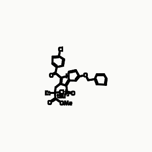 CCC(C)(Cc1c(C(=O)C(C)(C)C)c2cc(OCc3ccccc3)ccn2c1C(=O)c1ccc(Cl)cc1)C(=O)OC